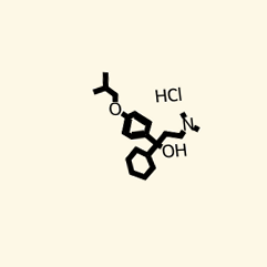 CC(C)COc1ccc(C(O)(CCN(C)C)C2CCCCC2)cc1.Cl